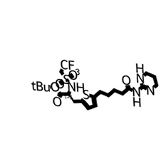 CC(C)(C)OC(=O)[C@H](Cc1ccc(CCCCC(=O)NC2=NCCCN2)s1)NS(=O)(=O)CC(F)(F)F